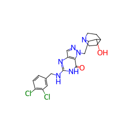 O=c1[nH]c(NCc2ccc(Cl)c(Cl)c2)nc2cnn(CC3C(O)C4CCN3CC4)c12